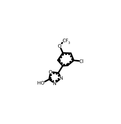 Oc1nnc(-c2cc(Cl)cc(OC(F)(F)F)c2)o1